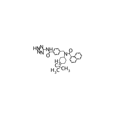 CC(C)(C)C1CCC(N(Cc2ccc(C(=O)Nc3nn[nH]n3)cc2)C(=O)c2cccc3ccccc23)CC1